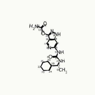 C[C@@H](NC(=O)Nc1cc2[nH]nc(OC(N)=O)c2cn1)C1CCCCC1